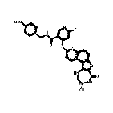 COc1ccc(CNC(=O)c2cnc(Cl)cc2Oc2ccc3c(ccc4sc5c(c43)NC[C@@H](C)NC5=O)n2)cc1